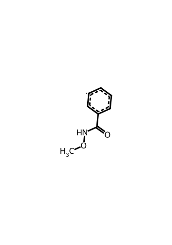 CONC(=O)c1c[c]ccc1